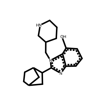 Oc1cccc2nc(C3CC4CCC3C4)n(CC3CCCNC3)c12